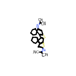 N#CC(C#N)=NC1=Cc2sc3c(c2C12CCCCC2)C1(CCCCC1)c1cc(N=C(C#N)C#N)sc1-3